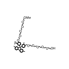 COCCOCCOCCOCCOCCOc1ccc(C2(c3ccc(COCCOCCOCCOCCOCCO)c(C)c3)c3cc(C)ccc3-c3ccc(C)cc32)cc1N(C)C